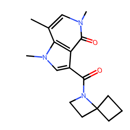 Cc1cn(C)c(=O)c2c(C(=O)N3CCC34CCC4)cn(C)c12